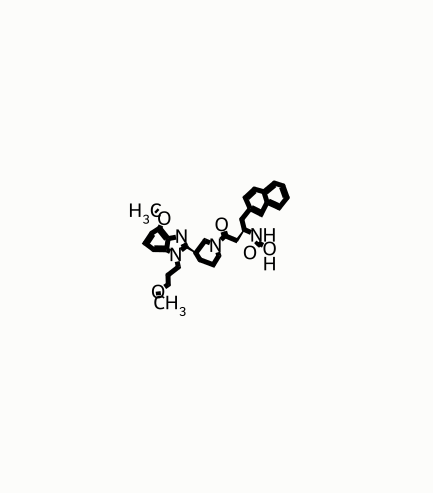 COCCCn1c([C@@H]2CCCN(C(=O)C[C@@H](Cc3ccc4ccccc4c3)NC(=O)O)C2)nc2c(OC)cccc21